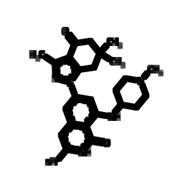 CCCc1cc2cc(-n3nc(C)c4c3CC(C)(C)CC4=O)cc(NC3CCN(C)CC3)c2c(=O)[nH]1